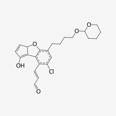 O=CC=Cc1c(Cl)cc(CCCCOC2CCCCO2)c2c1C1=C(O)C=CC1O2